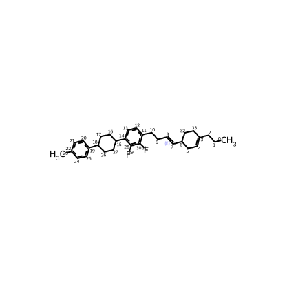 CCCC1=CCC(/C=C/CCc2ccc(C3CCC(c4ccc(C)cc4)CC3)c(F)c2F)CC1